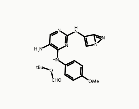 CC(C)(C)OC=O.COc1ccc(Nc2nc(Nc3cn4nc3-4)ncc2N)cc1